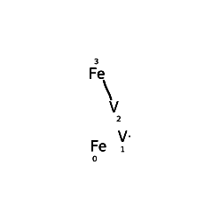 [Fe].[V].[V][Fe]